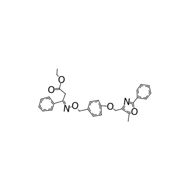 CCOC(=O)C/C(=N\OCc1ccc(OCc2nc(-c3ccccc3)oc2C)cc1)c1ccccc1